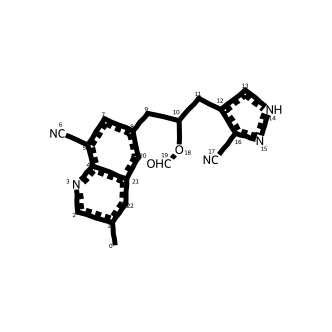 Cc1cnc2c(C#N)cc(CC(Cc3c[nH]nc3C#N)OC=O)cc2c1